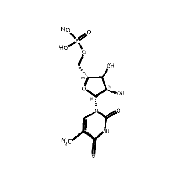 Cc1cn([C@@H]2O[C@H](COP(=O)(O)O)C(O)[C@H]2O)c(=O)[nH]c1=O